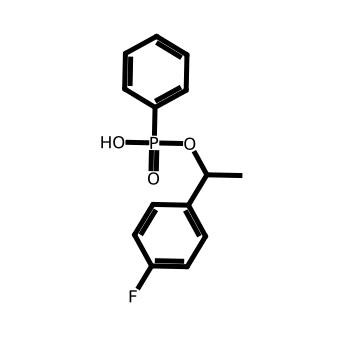 CC(OP(=O)(O)c1ccccc1)c1ccc(F)cc1